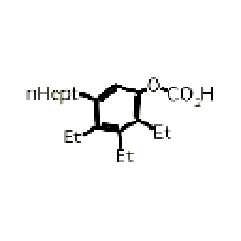 CCCCCCCc1cc(OC(=O)O)c(CC)c(CC)c1CC